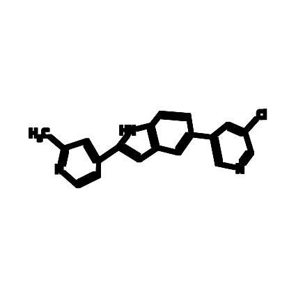 Cc1cc(-c2cc3cc(-c4cncc(Cl)c4)ccc3[nH]2)ccn1